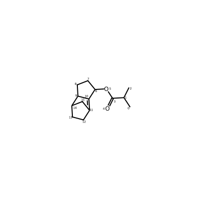 CC(C)C(=O)OC1CCC2C1=C1CCC2C1